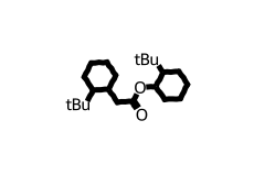 CC(C)(C)C1CCCCC1CC(=O)OC1CCCCC1C(C)(C)C